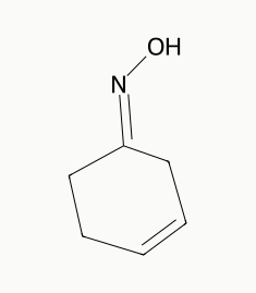 ON=C1CC=CCC1